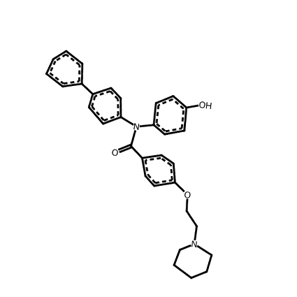 O=C(c1ccc(OCCN2CCCCC2)cc1)N(c1ccc(O)cc1)c1ccc(-c2ccccc2)cc1